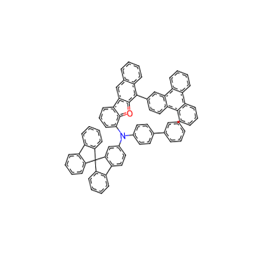 c1ccc(-c2ccc(N(c3ccc4c(c3)C3(c5ccccc5-c5ccccc53)c3ccccc3-4)c3cccc4c3oc3c(-c5ccc6c7ccccc7c7ccccc7c6c5)c5ccccc5cc34)cc2)cc1